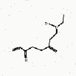 C=CC(=O)CCC(=C)CCN(Br)CC